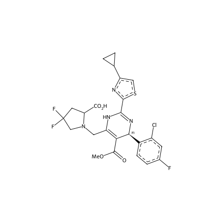 COC(=O)C1=C(CN2CC(F)(F)CC2C(=O)O)NC(c2nc(C3CC3)cs2)=N[C@H]1c1ccc(F)cc1Cl